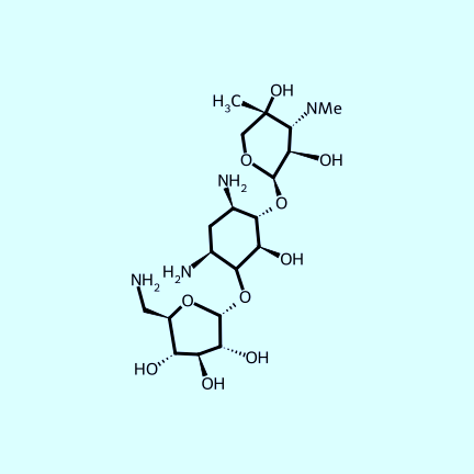 CN[C@@H]1[C@@H](O)[C@@H](O[C@H]2[C@H](N)C[C@H](N)C(O[C@H]3O[C@H](CN)[C@@H](O)[C@H](O)[C@H]3O)[C@@H]2O)OC[C@]1(C)O